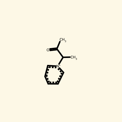 CC(=O)C(C)[n+]1ccccc1